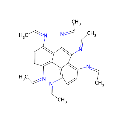 CC=Nc1c(N=CC)c2c(/N=C\C)ccc(/N=C\C)c2c2c(/N=C\C)ccc(/N=C\C)c12